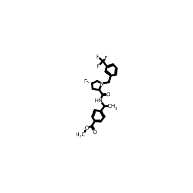 COC(=O)c1ccc(C(C)NC(=O)C2C[C@H](F)CN2Cc2cccc(C(F)(F)F)c2)cc1